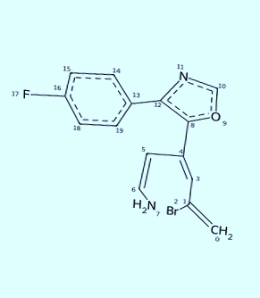 C=C(Br)/C=C(\C=C/N)c1ocnc1-c1ccc(F)cc1